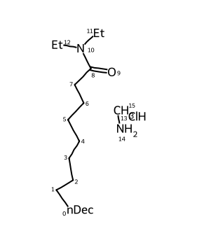 CCCCCCCCCCCCCCCCCC(=O)N(CC)CC.CN.Cl